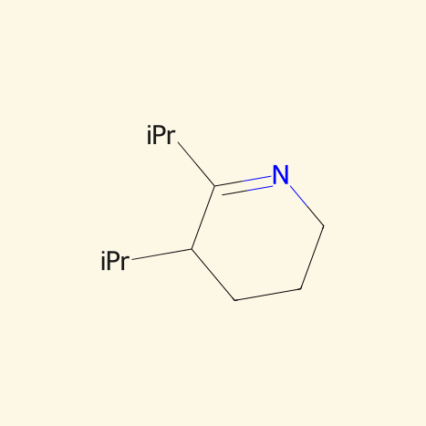 CC(C)C1=NCCCC1C(C)C